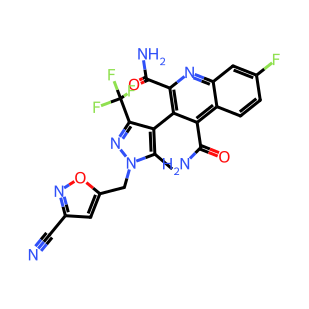 Cc1c(-c2c(C(N)=O)nc3cc(F)ccc3c2C(N)=O)c(C(F)(F)F)nn1Cc1cc(C#N)no1